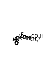 CC(CC(=O)O)NCc1ccc(-c2nc3ccc(C4(c5ccccc5)CC4)nc3s2)c(F)c1